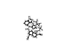 Cc1n[nH]c2cccc([C@H](Nc3cc(C#N)c4ncc(C#N)c(NCC(C)(C)C)c4c3)c3cn(C4(C(F)F)CC4)nn3)c12